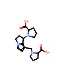 O=C(O)C1CCCN1Cc1ccn2c1C(N1CCCC1C(=O)O)CC2